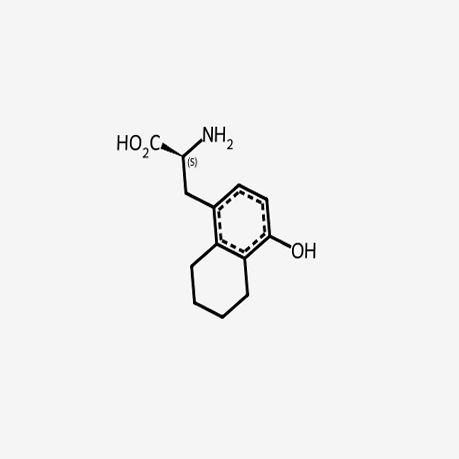 N[C@@H](Cc1ccc(O)c2c1CCCC2)C(=O)O